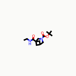 CCNC(=O)C12CC(CN(C(=O)OC(C)(C)C)C1)C2